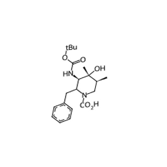 C[C@H]1CN(C(=O)O)C(Cc2ccccc2)[C@@H](NC(=O)OC(C)(C)C)[C@]1(C)O